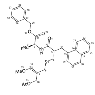 CCCC[C@H](NC(=O)[C@@H](CSCC(COC(C)=O)=NOC)Cc1cccc2ccccc12)C(=O)OCc1ccccc1